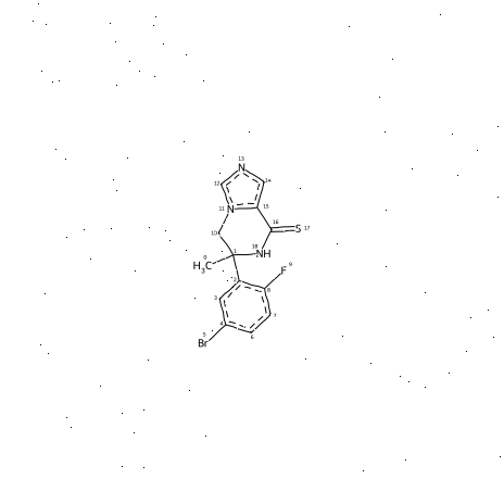 CC1(c2cc(Br)ccc2F)Cn2cncc2C(=S)N1